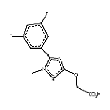 Cn1nc(OCC(=O)O)nc1-c1cc(F)cc(F)c1